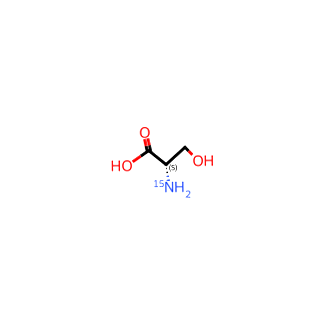 [15NH2][C@@H](CO)C(=O)O